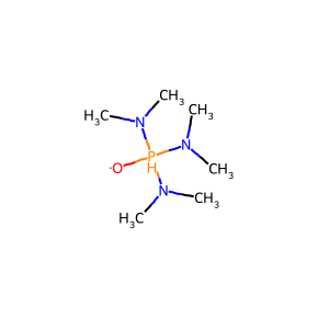 CN(C)[PH]([O])(N(C)C)N(C)C